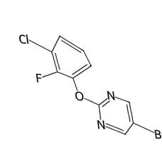 Fc1c(Cl)cccc1Oc1ncc(Br)cn1